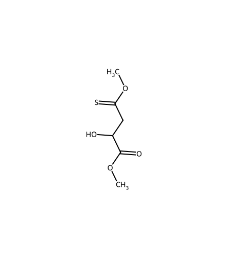 COC(=O)C(O)CC(=S)OC